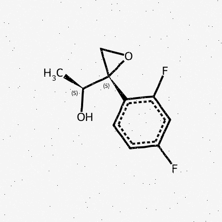 C[C@H](O)[C@]1(c2ccc(F)cc2F)CO1